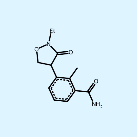 CCN1OCC(c2cccc(C(N)=O)c2C)C1=O